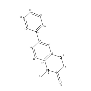 CN1C(=O)CSc2cc(-c3cccnc3)ccc21